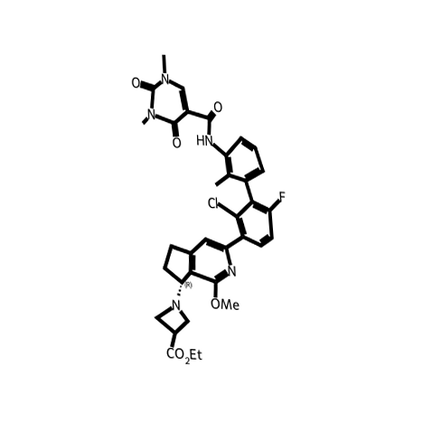 CCOC(=O)C1CN([C@@H]2CCc3cc(-c4ccc(F)c(-c5cccc(NC(=O)c6cn(C)c(=O)n(C)c6=O)c5C)c4Cl)nc(OC)c32)C1